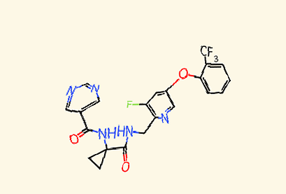 O=C(NC1(C(=O)NCc2ncc(Oc3ccccc3C(F)(F)F)cc2F)CC1)c1cncnc1